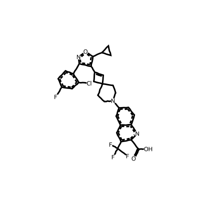 O=C(O)c1nc2ccc(N3CCC4(C=C(c5c(-c6ccc(F)cc6Cl)noc5C5CC5)C4)CC3)cc2cc1C(F)(F)F